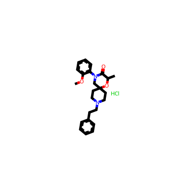 COc1ccccc1N1CC2(CCN(CCc3ccccc3)CC2)OC(C)C1=O.Cl